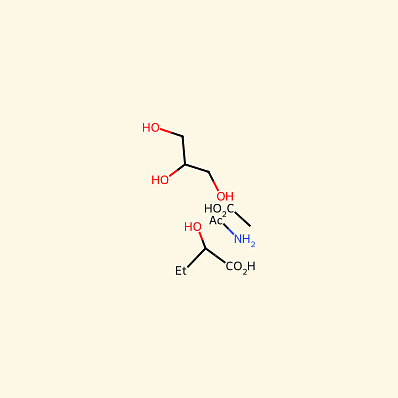 CC(=O)O.CC(N)=O.CCC(O)C(=O)O.OCC(O)CO